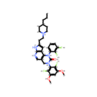 CCCC1CCN(CCc2cc3c4c(cnc3[nH]2)CN(c2c(F)c(OC)cc(OC)c2F)C(=O)N4c2cccc(F)c2F)CC1